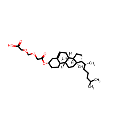 CC(C)CCC[C@@H](C)[C@H]1CC[C@H]2[C@@H]3CC=C4C[C@@H](OC(=O)COCOCC(=O)O)CC[C@]4(C)[C@H]3CC[C@]12C